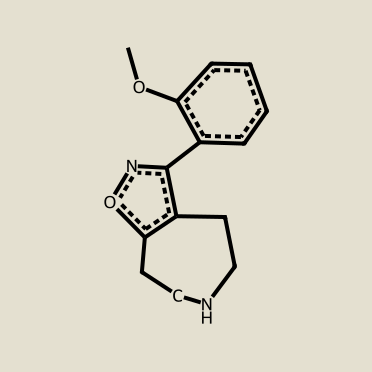 COc1ccccc1-c1noc2c1CCNCC2